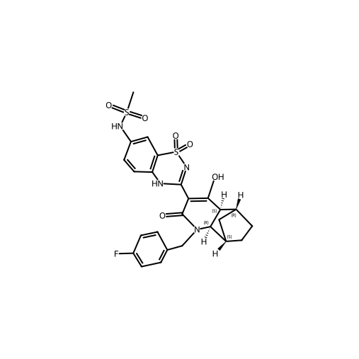 CS(=O)(=O)Nc1ccc2c(c1)S(=O)(=O)N=C(C1=C(O)[C@H]3[C@@H]4CC[C@@H](C4)[C@H]3N(Cc3ccc(F)cc3)C1=O)N2